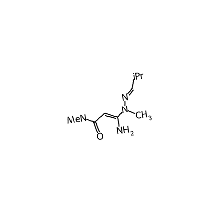 CNC(=O)/C=C(\N)N(C)/N=C/C(C)C